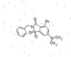 CC(C)c1cc(N(C)C)cc2c1C(=O)N(Cc1ccccc1)S2(=O)=O